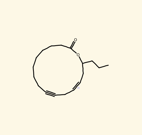 CCCC1C/C=C\CC#CCCCCCCCC(=O)O1